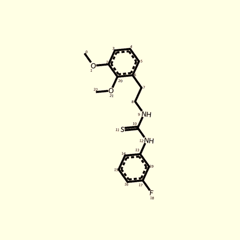 COc1cccc(CCNC(=S)Nc2cccc(F)c2)c1OC